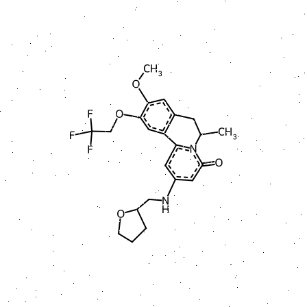 COc1cc2c(cc1OCC(F)(F)F)-c1cc(NCC3CCCO3)cc(=O)n1C(C)C2